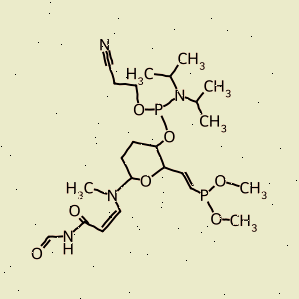 COP(/C=C/C1OC(N(C)/C=C\C(=O)NC=O)CCC1OP(OCCC#N)N(C(C)C)C(C)C)OC